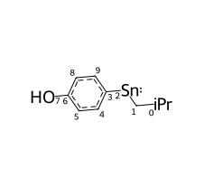 CC(C)[CH2][Sn][c]1ccc(O)cc1